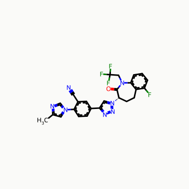 Cc1cn(-c2ccc(-c3cn([C@H]4CCc5c(F)cccc5N(CC(F)(F)F)C4=O)nn3)cc2C#N)cn1